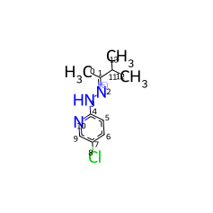 C/C(=N\Nc1ccc(Cl)cn1)C(C)C